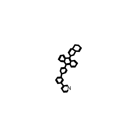 C1=CC2CC(c3c4ccccc4c(C4=CCC(c5cccc(-c6cccnc6)c5)C=C4)c4ccccc34)C=CC2CC1